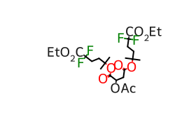 CCOC(=O)C(F)(F)CCC(C)(C)OC(=O)CC(OC(C)=O)C(=O)OC(C)(C)CCC(F)(F)C(=O)OCC